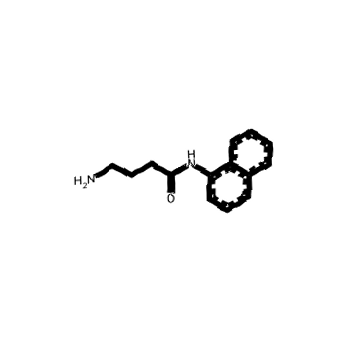 NCCCC(=O)Nc1cccc2ccccc12